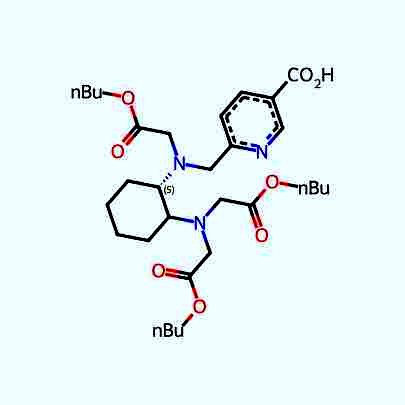 CCCCOC(=O)CN(CC(=O)OCCCC)C1CCCC[C@@H]1N(CC(=O)OCCCC)Cc1ccc(C(=O)O)cn1